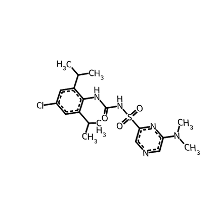 CC(C)c1cc(Cl)cc(C(C)C)c1NC(=O)NS(=O)(=O)c1cncc(N(C)C)n1